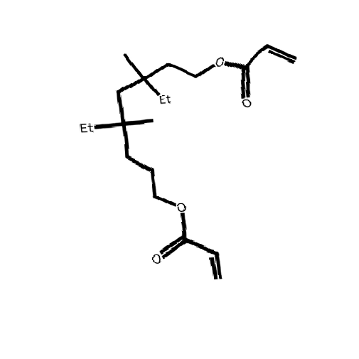 C=CC(=O)OCCCC(C)(CC)CC(C)(CC)CCOC(=O)C=C